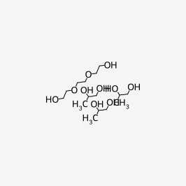 CC(O)CO.CC(O)CO.CC(O)CO.OCCOCCOCCO